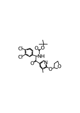 Cc1cc(C(=O)C(NC(=O)OC(C)(C)C)c2ccc(Cl)c(Cl)c2)cnc1OC1CCOC1